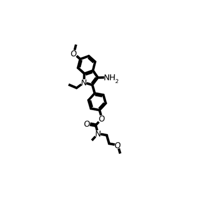 CCn1c(-c2ccc(OC(=O)N(C)CCOC)cc2)c(N)c2ccc(OC)cc21